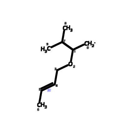 [CH2]C(OC/C=C/C)C(C)C